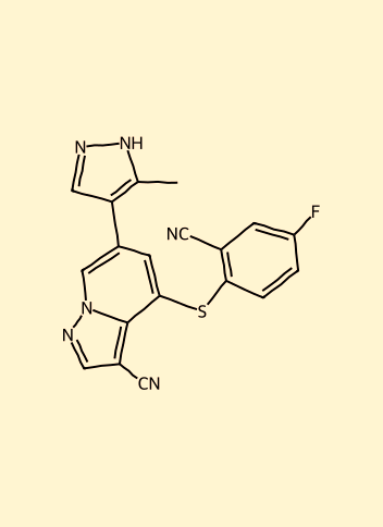 Cc1[nH]ncc1-c1cc(Sc2ccc(F)cc2C#N)c2c(C#N)cnn2c1